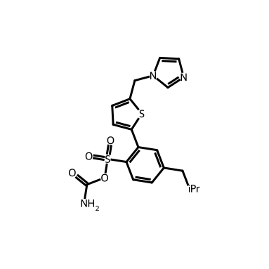 CC(C)Cc1ccc(S(=O)(=O)OC(N)=O)c(-c2ccc(Cn3ccnc3)s2)c1